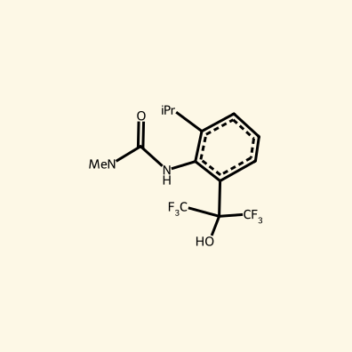 CNC(=O)Nc1c(C(C)C)cccc1C(O)(C(F)(F)F)C(F)(F)F